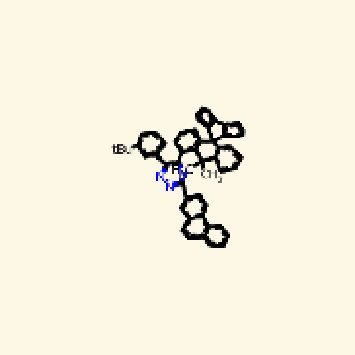 CC(C)(C)c1cccc(-c2nnc(-c3ccc4c(ccc5ccccc54)c3)nc2-c2cccc3c2C(C)(C)c2ccccc2C32c3ccccc3-c3ccccc32)c1